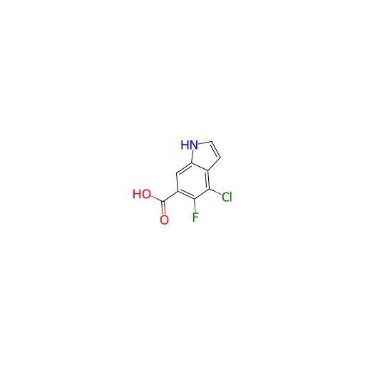 O=C(O)c1cc2[nH]ccc2c(Cl)c1F